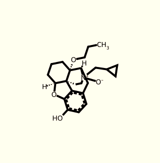 CCCO[C@@]12CCC[C@@H]3Oc4c(O)ccc5c4[C@@]31CC[N+]([O-])(CC1CC1)[C@@H]2C5